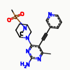 Cc1nc(N)nc(N2CC3CCC2CN3S(C)(=O)=O)c1C#Cc1cccnc1